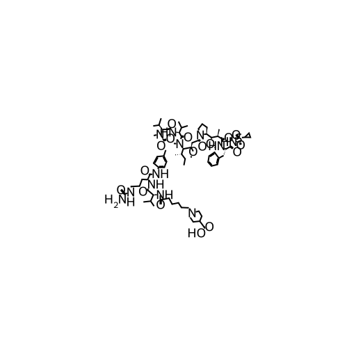 CC[C@H](C)[C@@H]([C@@H](CC(=O)N1CCC[C@H]1[C@H](OC)[C@@H](C)C(=O)N[C@@H](Cc1ccccc1)C(=O)NS(=O)(=O)C1CC1)OC)N(C)C(=O)[C@@H](NC(=O)[C@H](C(C)C)N(C)C(=O)OCc1ccc(NC(=O)C(CCCNC(N)=O)NC(=O)[C@@H](NC(=O)CCCCCN2CCC(C(=O)O)CC2)C(C)C)cc1)C(C)C